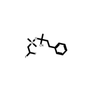 CC(C#N)(CCc1ccccc1)O[Si](C)(C)CC(F)F